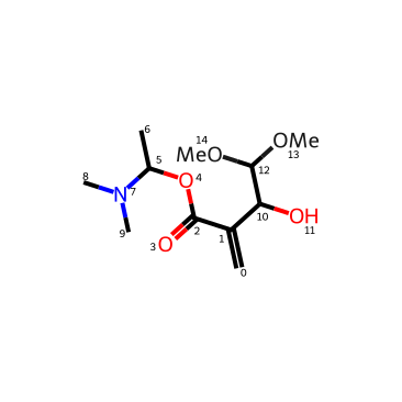 C=C(C(=O)OC(C)N(C)C)C(O)C(OC)OC